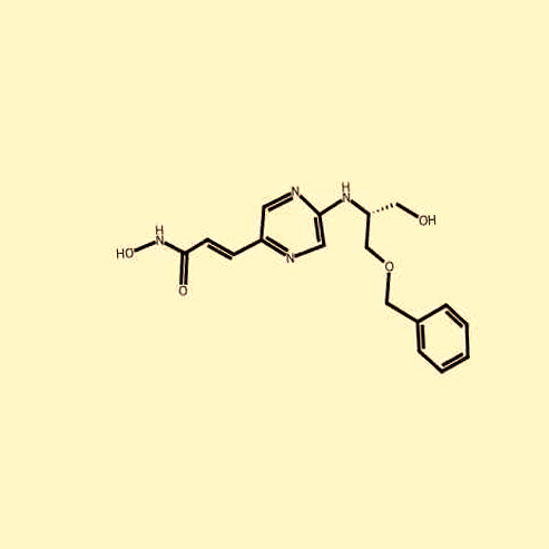 O=C(/C=C/c1cnc(N[C@H](CO)COCc2ccccc2)cn1)NO